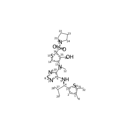 Cc1cc([C@H](Nc2nsnc2N(C)c2csc(S(=O)(=O)N3CCCC3)c2O)C(C)C)sc1C